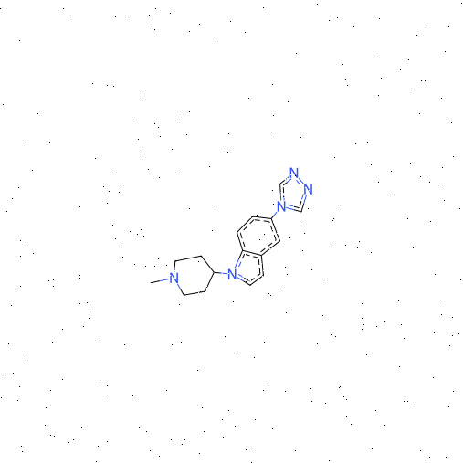 CN1CCC(n2ccc3cc(-n4cnnc4)ccc32)CC1